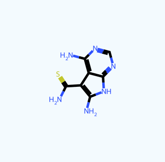 NC(=S)c1c(N)[nH]c2ncnc(N)c12